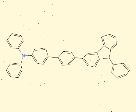 c1ccc(C2c3ccccc3-c3cc(-c4ccc(-c5ccc(N(c6ccccc6)c6ccccc6)cc5)cc4)ccc32)cc1